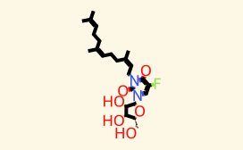 CC(C)=CCCC(C)=CCCC(C)=CCn1c(=O)c(F)cn([C@@H]2O[C@H](CO)[C@@H](O)[C@H]2O)c1=O